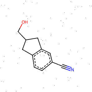 N#Cc1ccc2c(c1)CC(CO)C2